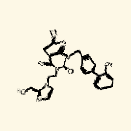 CCc1cc2c(=O)n(CCn3ccnc3CO)c(=O)n(Cc3ccc(-c4ccccc4C#N)cc3)c2s1